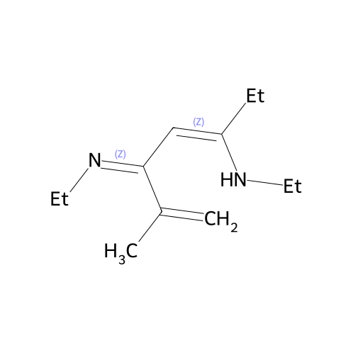 C=C(C)C(/C=C(/CC)NCC)=N\CC